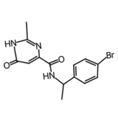 Cc1nc(C(=O)NC(C)c2ccc(Br)cc2)cc(=O)[nH]1